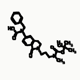 CN(CCCN1CCc2cc(N(Cc3ccccc3)C(=O)O)ccc2C1=O)C(=O)OC(C)(C)C